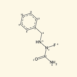 NC(=O)N(F)NCc1ccccc1